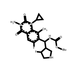 Cc1c(C(NC(=O)OC(C)(C)C)C2CNCC2F)c(F)cc2c(=O)n(N)c(=O)n(C3CC3)c12